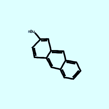 CCCCc1[c]cc2cc3ccccc3cc2c1